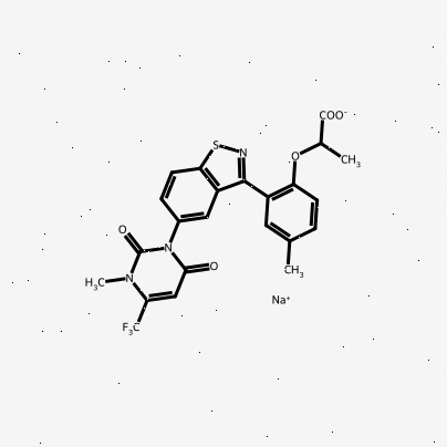 Cc1ccc(OC(C)C(=O)[O-])c(-c2nsc3ccc(-n4c(=O)cc(C(F)(F)F)n(C)c4=O)cc23)c1.[Na+]